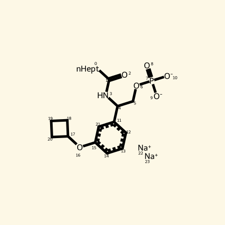 CCCCCCCC(=O)NC(COP(=O)([O-])[O-])c1cccc(OC2CCC2)c1.[Na+].[Na+]